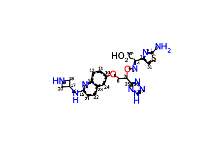 Nc1nc(/C(=N/OC(COc2ccc3nc(NC4CNC4)ccc3c2)c2nn[nH]n2)C(=O)O)cs1